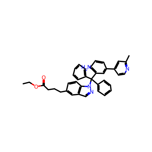 CCOC(=O)CCCc1ccc2c(cnn2C(c2ccccc2)(c2ccccc2)c2cc(-c3ccnc(C)c3)ccc2N)c1